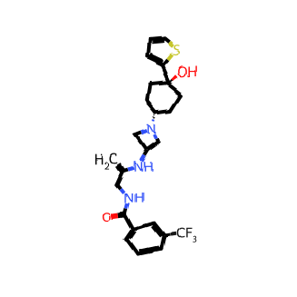 C=C(CNC(=O)c1cccc(C(F)(F)F)c1)NC1CN([C@H]2CC[C@@](O)(c3cccs3)CC2)C1